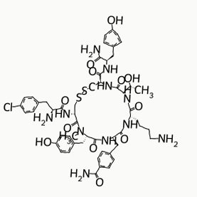 C[C@@H](O)[C@@H]1NC(=O)[C@H](CCCCN)NC(=O)[C@@H](Cc2ccc(C(N)=O)cc2)NC(=O)[C@H](Cc2ccc(O)cc2)N(C)C(=O)[C@H](NC(=O)[C@@H](N)Cc2ccc(Cl)cc2)CSSC[C@@H](C(=O)N[C@H](Cc2ccc(O)cc2)C(N)=O)NC1=O